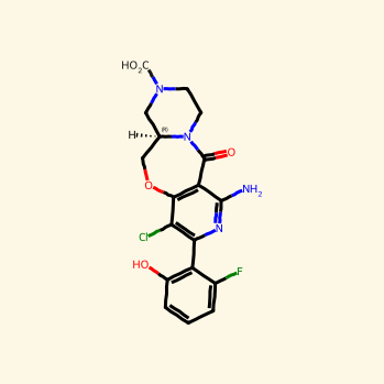 Nc1nc(-c2c(O)cccc2F)c(Cl)c2c1C(=O)N1CCN(C(=O)O)C[C@@H]1CO2